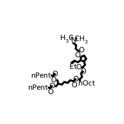 CC/C=C\CC1C(CC(=O)OCCC(CCCCCCCC)OC(=O)CCCCC(COC(=O)CCCCC)COC(=O)CCCCC)CCC1OC(=O)CCCN(C)C